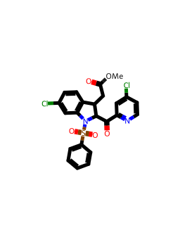 COC(=O)CC1c2ccc(Cl)cc2N(S(=O)(=O)c2ccccc2)C1C(=O)c1cc(Cl)ccn1